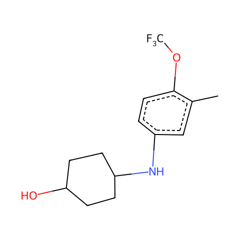 Cc1cc(NC2CCC(O)CC2)ccc1OC(F)(F)F